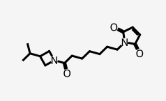 CC(C)C1CN(C(=O)CCCCCCN2C(=O)C=CC2=O)C1